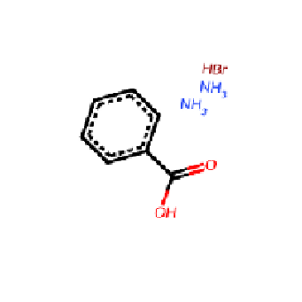 Br.N.N.O=C(O)c1ccccc1